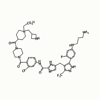 NCCCNc1ccc(-c2[nH]nc(C(F)(F)F)c2Cc2cnc(C(=O)Nc3ccc(C(=O)N4CCN(C(=O)C5CC[N+](CC(=O)O)(CC6CNC6)CC5)CC4)c(Cl)c3)[nH]2)c(F)c1